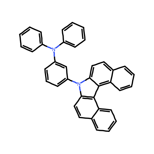 c1ccc(N(c2ccccc2)c2cccc(-n3c4ccc5ccccc5c4c4c5ccccc5ccc43)c2)cc1